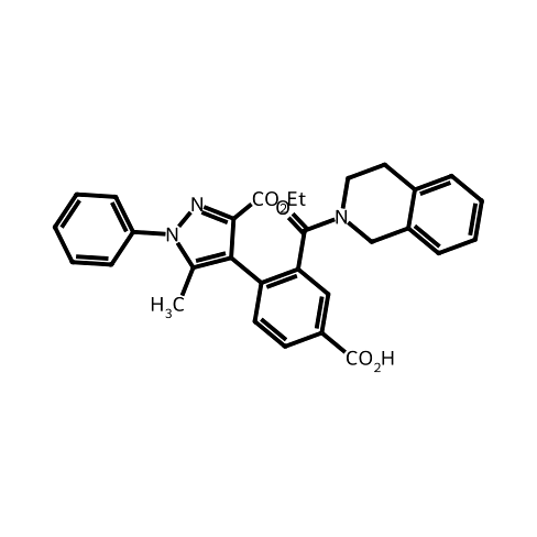 CCOC(=O)c1nn(-c2ccccc2)c(C)c1-c1ccc(C(=O)O)cc1C(=O)N1CCc2ccccc2C1